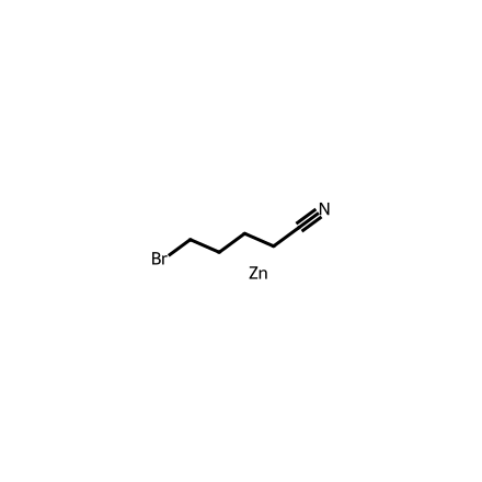 N#CCCCCBr.[Zn]